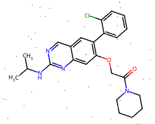 CC(C)Nc1ncc2cc(-c3ccccc3Cl)c(OCC(=O)N3CCCCC3)cc2n1